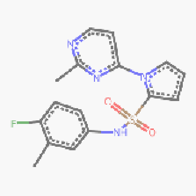 Cc1nccc(-n2cccc2S(=O)(=O)Nc2ccc(F)c(C)c2)n1